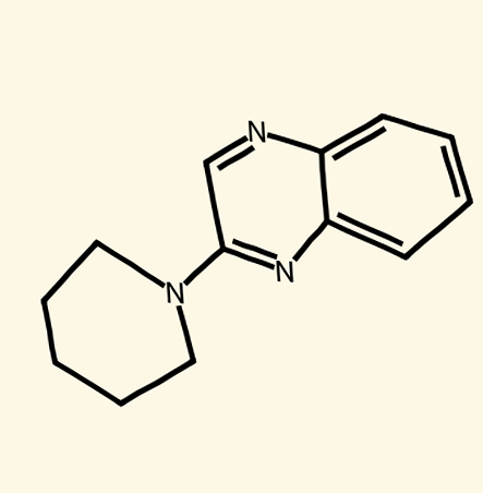 c1ccc2nc(N3CCCCC3)cnc2c1